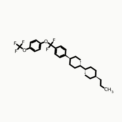 CCC[C@H]1CC[C@H]([C@H]2CC[C@H](c3ccc(C(F)(F)Oc4ccc(OC(F)(F)F)cc4)cc3)CC2)CC1